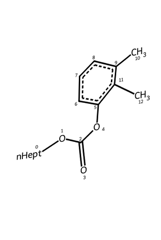 CCCCCCCOC(=O)Oc1cccc(C)c1C